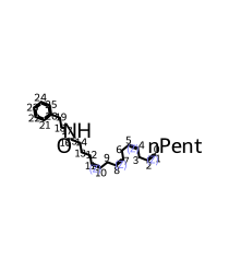 CCCCC/C=C\C/C=C\C/C=C\C/C=C\CCCC(=O)NCCc1ccccc1